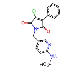 O=C(O)Nc1ccc(CN2C(=O)C(Cl)=C(c3ccccc3)C2=O)cn1